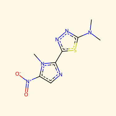 CN(C)c1nnc(-c2ncc([N+](=O)[O-])n2C)s1